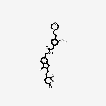 Cc1cc(CC(=O)NCc2ccc3c(c2)CC(CCC2CCC(=O)NC2=O)C3=O)ccc1CCN1CCOCC1